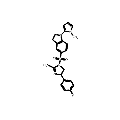 Cn1cccc1N1CCc2cc(S(=O)(=O)N3CC(c4ccc(F)cc4)N=C3N)ccc21